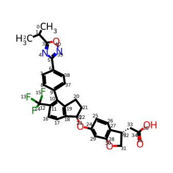 CC(C)c1nc(-c2ccc(-c3c(C(F)(F)F)ccc4c3CC[C@H]4Oc3ccc4c(c3)OC[C@H]4CC(=O)O)cc2)no1